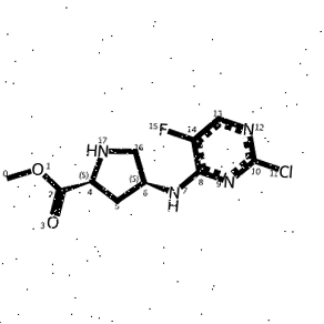 COC(=O)[C@@H]1C[C@H](Nc2nc(Cl)ncc2F)CN1